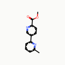 COC(=O)c1ccc(-c2cccc(C)n2)cn1